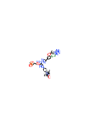 C[C@@H](Cn1cnnn1)Oc1cc(-c2cnc(Nc3cn([C@H]4CC[C@H](N5[C@@H]6CC[C@@H]5COC6)CC4)nc3OCCCS(C)(=O)=O)nc2)ccc1Cl